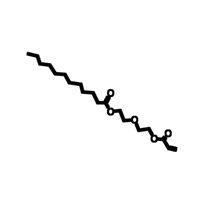 C=CC(=O)OCCOCCOC(=O)CCCCCCCCCCC